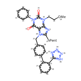 CCCCCc1nc2c(c(=O)n(-c3ccccc3)c(=O)n2CCOC)n1Cc1ccc(-c2ccccc2-c2nnn[nH]2)cc1